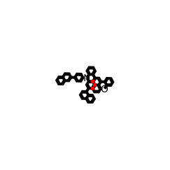 c1cc(-c2cccc3ccccc23)cc(N(c2ccc(-c3ccc4ccccc4c3)cc2)c2ccccc2-c2cc3c4c(cccc4c2)Oc2ccccc2-3)c1